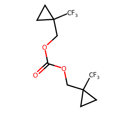 O=C(OCC1(C(F)(F)F)CC1)OCC1(C(F)(F)F)CC1